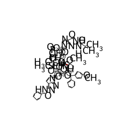 COc1ccc(C(OC[C@H]2O[C@@H](n3ccc4c(NC(=O)c5ccccc5)ncnc43)C(O[Si](C)(C)C(C)(C)C)[C@H]2OP(O)(=S)OC[C@@H]2CC(O[PH](=O)O)[C@H](n3cnc4c(=O)[nH]c(NC(=O)C(C)C)nc43)O2)(c2ccccc2)c2ccc(OC)cc2)cc1